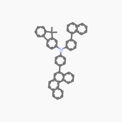 CC1(C)c2ccccc2-c2ccc(N(c3ccc(-c4cc5ccc6ccccc6c5c5ccccc45)cc3)c3cccc(-c4cccc5ccccc45)c3)cc21